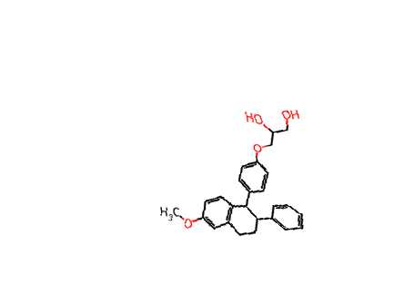 COc1ccc2c(c1)CCC(c1ccccc1)C2c1ccc(OCC(O)CO)cc1